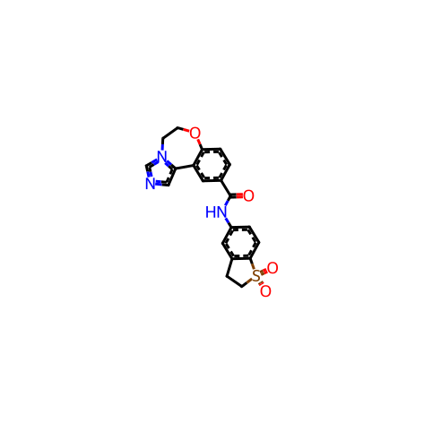 O=C(Nc1ccc2c(c1)CCS2(=O)=O)c1ccc2c(c1)-c1cncn1CCO2